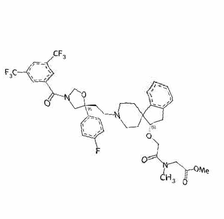 COC(=O)CN(C)C(=O)CO[C@H]1Cc2ccccc2C12CCN(CC[C@@]1(c3ccc(F)cc3)CN(C(=O)c3cc(C(F)(F)F)cc(C(F)(F)F)c3)CO1)CC2